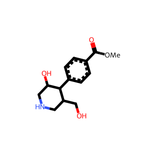 COC(=O)c1ccc(C2C(O)CNCC2CO)cc1